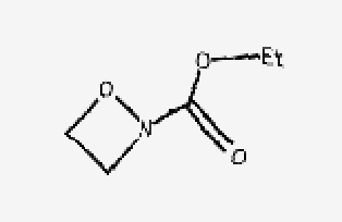 CCOC(=O)N1CCO1